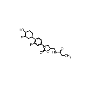 CCC(=O)NCC1CN(c2ccc(C3CCC(O)C(F)C3)c(F)c2)C(=O)O1